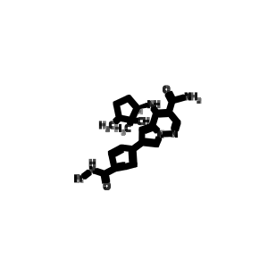 CCNC(=O)c1ccc(-c2cc3c(N[C@@H]4CCC(C)C4(C)C)c(C(N)=O)cnn3c2)cc1